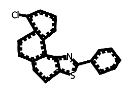 Clc1cccc2c1ccc1ccc3sc(-c4ccccc4)nc3c12